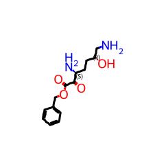 NC[C@H](O)CC[C@H](N)C(=O)C(=O)OCc1ccccc1